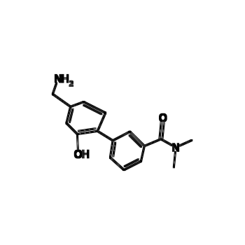 CN(C)C(=O)c1cccc(-c2ccc(CN)cc2O)c1